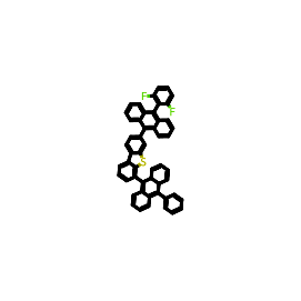 Fc1cccc(F)c1-c1c2ccccc2c(-c2ccc3c(c2)sc2c(C4=c5ccccc5=C(c5ccccc5)C5C=CC=CC45)cccc23)c2ccccc12